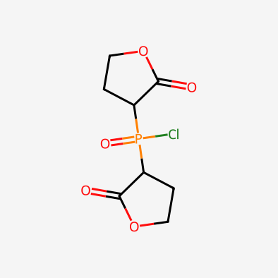 O=C1OCCC1P(=O)(Cl)C1CCOC1=O